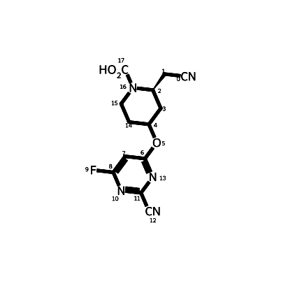 N#CC[C@H]1CC(Oc2cc(F)nc(C#N)n2)CCN1C(=O)O